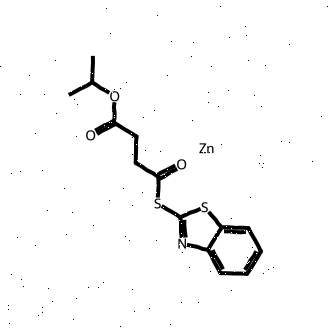 CC(C)OC(=O)CCC(=O)Sc1nc2ccccc2s1.[Zn]